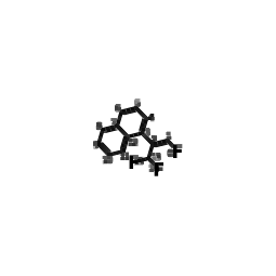 FC=C(c1cccc2ccccc12)C(F)F